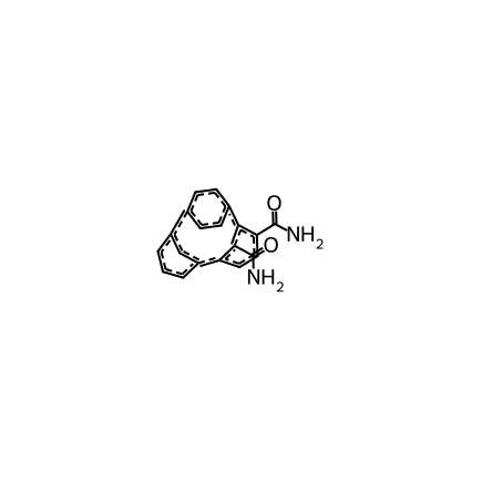 NC(=O)c1ccc2c(C(N)=O)c1c1ccc(cc1)c1cccc2c1